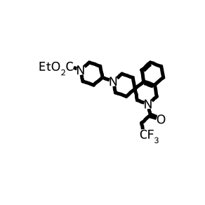 CCOC(=O)N1CCC(N2CCC3(CC2)CN(C(=O)CC(F)(F)F)CC2=C3C=CCC2)CC1